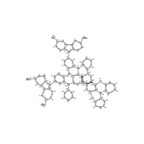 CC(C)(C)c1ccc2c(c1)c1cc(C#N)ccc1n2-c1ccc2c(c1)N(c1ccccc1-c1ccccc1)c1cc(-c3cc4c5c(c3)Oc3ccccc3B5c3ccccc3O4)cc3c1B2c1ccc(-n2c4ccc(C(C)(C)C)cc4c4cc(C(C)(C)C)ccc42)cc1N3c1ccccc1